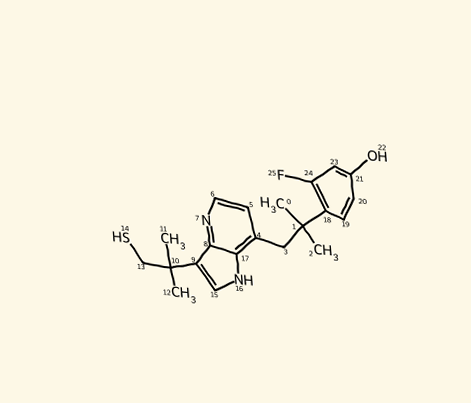 CC(C)(Cc1ccnc2c(C(C)(C)CS)c[nH]c12)c1ccc(O)cc1F